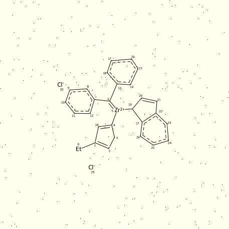 CCC1=CC[C]([Zr+2](=[C](c2ccccc2)c2ccccc2)[CH]2C=Cc3ccccc32)=C1.[Cl-].[Cl-]